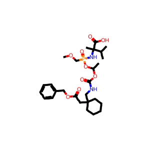 COCP(=O)(NC(C)(C(=O)O)C(C)C)OC(C)OC(=O)NCC1(CC(=O)OCc2ccccc2)CCCCC1